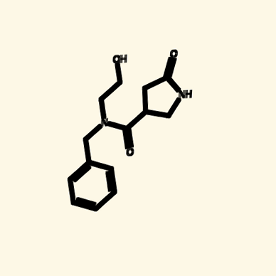 O=C1CC(C(=O)N(CCO)Cc2ccccc2)CN1